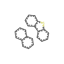 c1ccc2c(c1)sc1ccccc12.c1ccc2ccccc2c1